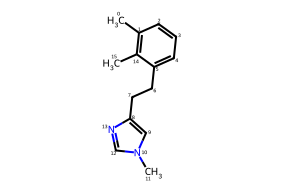 Cc1cccc(CCc2cn(C)cn2)c1C